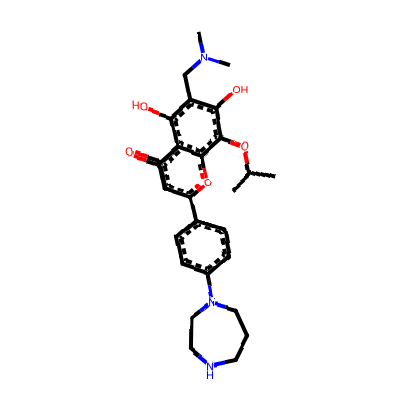 CC(C)Oc1c(O)c(CN(C)C)c(O)c2c(=O)cc(-c3ccc(N4CCCNCC4)cc3)oc12